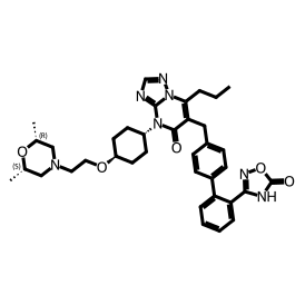 CCCc1c(Cc2ccc(-c3ccccc3-c3noc(=O)[nH]3)cc2)c(=O)n([C@H]2CC[C@H](OCCN3C[C@@H](C)O[C@@H](C)C3)CC2)c2ncnn12